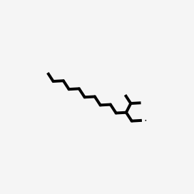 [CH2]CC(CCCCCCCCCC)C(C)C